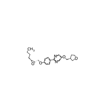 CCCC[C@@H]1O[C@H]1COc1ccc(-c2ncc(OC[C@H]3CCOC3)cn2)cc1